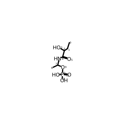 CCC(O)C(=O)NC(C)OP(=O)(O)O